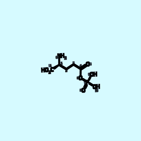 N[C@@H](CCC(=O)OP(=O)(O)O)C(=O)O